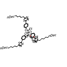 CCCCCCCCCCCCCCCc1nnc(-c2ccc(OC(CC)C(Oc3ccc(-c4nnc(CCCCCCCCCCCCCCC)s4)cc3)(Oc3ccc(-c4nnc(CCCCCCCCCCCCCCC)s4)cc3)C(=O)OCC(O)CO)cc2)s1